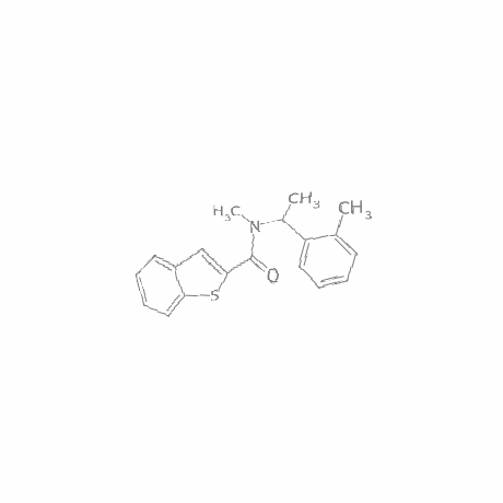 Cc1ccccc1C(C)N(C)C(=O)c1cc2ccccc2s1